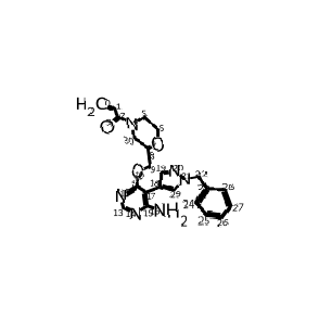 C=CC(=O)N1CCOC(COc2ncnc(N)c2-c2cnn(Cc3ccccc3)c2)C1